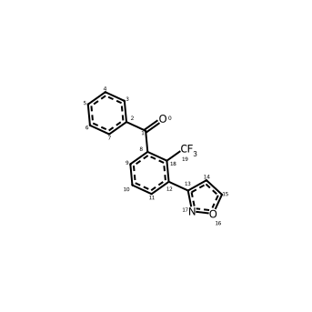 O=C(c1ccccc1)c1cccc(-c2ccon2)c1C(F)(F)F